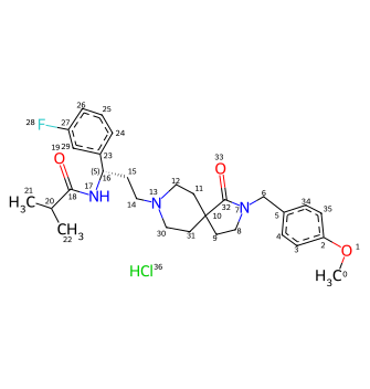 COc1ccc(CN2CCC3(CCN(CC[C@H](NC(=O)C(C)C)c4cccc(F)c4)CC3)C2=O)cc1.Cl